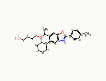 CCCC(OCCCCO)c1cc2oc(-c3ccc(C)cc3)nc2cc1C1CCCCC1